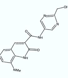 CNc1cccc2cc(C(=O)Nc3cnc(CO)nc3)c(=O)[nH]c12